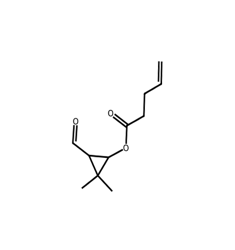 C=CCCC(=O)OC1C(C=O)C1(C)C